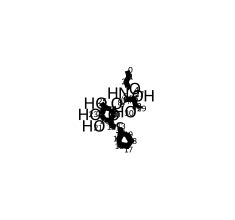 CCCC(=O)N[C@@H](COC1OC(CSc2ccccc2)C(O)C(O)C1O)[C@H](O)[C@@H](C)O